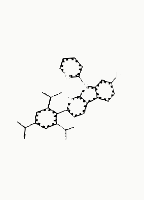 CC(C)c1cc(C(C)C)c(-c2ccc3c4ccc(Br)cc4n(-c4ccccn4)c3n2)c(C(C)C)c1